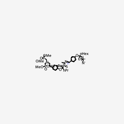 CCCCCCC(CC)(N=[N+]=[N-])Oc1ccc(/C=N/N(C)[PH](=S)C(CCC)(CCCC)Oc2ccc(CCN(CP(=O)(OC)OC)CP(=O)(OC)OC)cc2)cc1